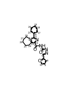 O=C(Nc1nnc(-c2ccco2)o1)c1nc(-c2ccccc2)n2c1CCCCC2